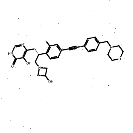 O=c1[nH]cnc(C[C@@H](CN2CC(O)C2)c2ccc(C#Cc3ccc(CN4CCOCC4)cc3)cc2F)c1O